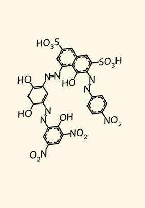 O=[N+]([O-])c1ccc(/N=N/c2c(S(=O)(=O)O)cc3cc(S(=O)(=O)O)cc(/N=N/C4=C(O)CC(O)C(/N=N/c5cc([N+](=O)[O-])cc([N+](=O)[O-])c5O)=C4)c3c2O)cc1